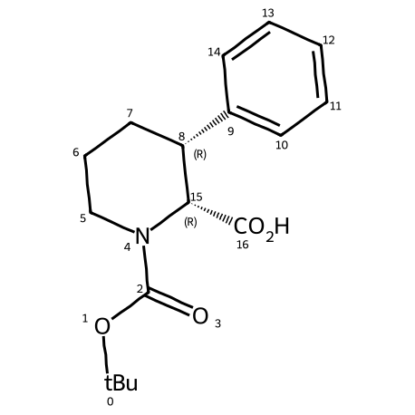 CC(C)(C)OC(=O)N1CCC[C@H](c2ccccc2)[C@@H]1C(=O)O